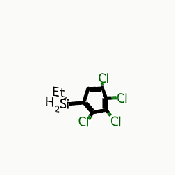 CC[SiH2]c1cc(Cl)c(Cl)c(Cl)c1Cl